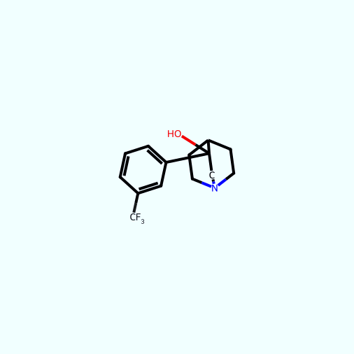 OC1(c2cccc(C(F)(F)F)c2)CN2CCC1CC2